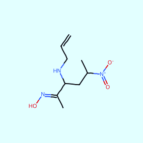 C=CCNC(CC(C)[N+](=O)[O-])/C(C)=N/O